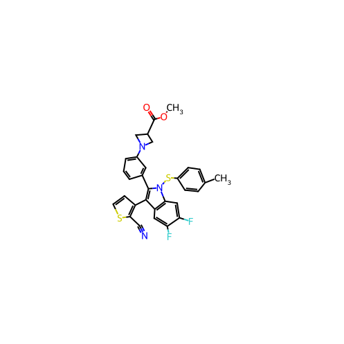 COC(=O)C1CN(c2cccc(-c3c(-c4ccsc4C#N)c4cc(F)c(F)cc4n3Sc3ccc(C)cc3)c2)C1